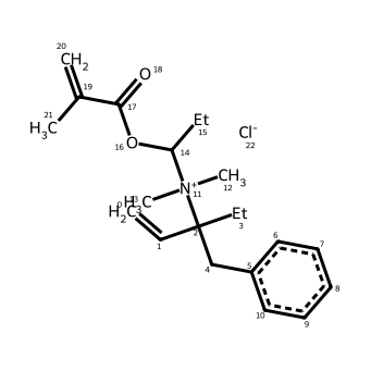 C=CC(CC)(Cc1ccccc1)[N+](C)(C)C(CC)OC(=O)C(=C)C.[Cl-]